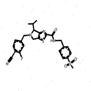 CC(C)C1c2nc(C(=O)NCc3ccc(S(C)(=O)=O)cc3)sc2CN1Cc1ccc(C#N)c(F)c1